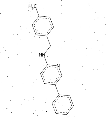 Cc1ccc(CNc2ccc(-c3ccccc3)cn2)cc1